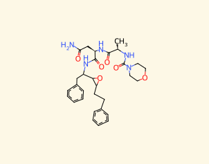 C[C@@H](NC(=O)N1CCOCC1)C(=O)N[C@H](CC(N)=O)C(=O)NC(Cc1ccccc1)C1OC1CCc1ccccc1